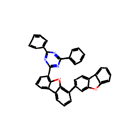 c1ccc(-c2nc(-c3ccccc3)nc(-c3cccc4c3oc3c(-c5ccc6c(c5)oc5ccccc56)cccc34)n2)cc1